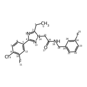 CCc1nc(-c2ccc(Cl)c(F)c2)nn1CC(=O)NCc1cccc(F)c1